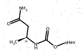 CCCCCCOC(=O)N[C@@H](C)CC(N)=O